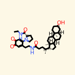 CCNC(=O)[C@@H]1CCCN1C1=CC(=O)C(=O)C=C1CCNC(=O)CC[C@@H](C)[C@H]1CC[C@H]2[C@@H]3CC[C@@H]4C[C@H](O)CC[C@]4(C)[C@H]3CC[C@]12C